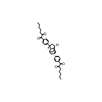 CCCCCC(=O)C(=O)c1ccc(C23C[C@H]4C5CC6C[C@](c7ccc(C(=O)C(=O)CCCCC)cc7)(C5)CC4[C@@]62C3)cc1